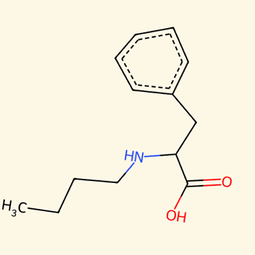 CCCCNC(Cc1ccccc1)C(=O)O